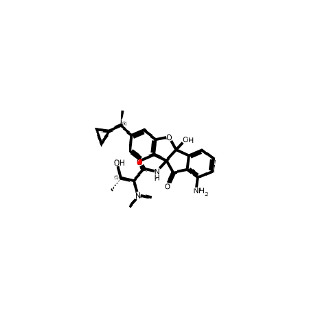 C[C@H](O)C(C(=O)NC12C(=O)c3c(N)cccc3C1(O)Oc1cc([C@H](C)C3CC3)ccc12)N(C)C